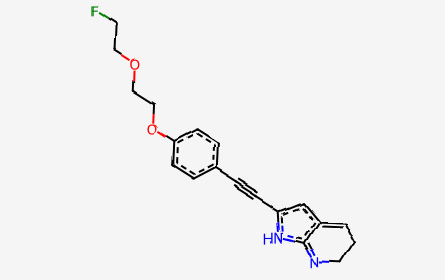 FCCOCCOc1ccc(C#Cc2cc3c([nH]2)=NCCC=3)cc1